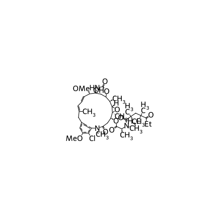 CCC(=O)C(C)(C)CC(C)(C)C(=O)N(C)[C@@H](C)C(=O)O[C@H]1CC(=O)N(C)c2cc(cc(OC)c2Cl)C/C(C)=C/C=C/[C@@H](OC)[C@@]2(O)CC(OC(=O)N2)[C@@H](C)[C@@H]2O[C@@]12C